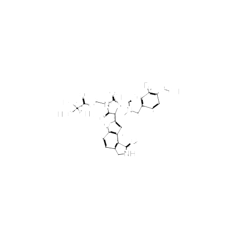 COc1ccc(CN(C=O)C[C@@]2(c3cc4c5c(ccc4o3)CNC5=O)NC(=O)N(COC(=O)C(C)(C)C)C2=O)cc1F